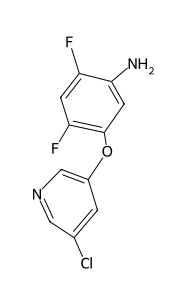 Nc1cc(Oc2cncc(Cl)c2)c(F)cc1F